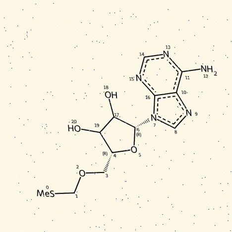 CSCOC[C@H]1O[C@@H](n2cnc3c(N)ncnc32)C(O)C1O